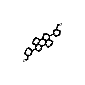 O=Cc1cccc(-c2ccc3c4cccc5c(-c6cccc(C=O)c6)ccc(c6cccc2c63)c54)c1